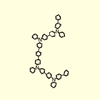 C1=CC(c2ccc(N(c3ccccc3)c3ccc(-c4ccc(-c5ccc(N(c6ccccc6)c6ccc(-c7ccc(N(c8ccccc8)c8ccc(-c9ccccc9)cc8)cc7)cc6)cc5)cc4)cc3)cc2)CC=C1N(c1ccccc1)c1ccc(-c2ccccc2)cc1